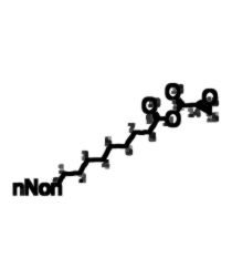 CCCCCCCCCCCCCCCCCC(=O)OC(=O)C1=CO1